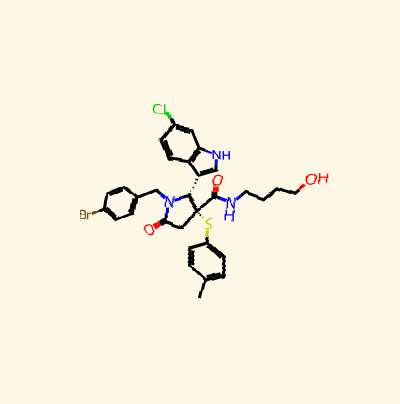 Cc1ccc(S[C@]2(C(=O)NCCCCO)CC(=O)N(Cc3ccc(Br)cc3)[C@@H]2c2c[nH]c3cc(Cl)ccc23)cc1